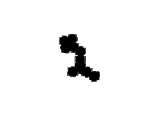 c1ccc(-c2nc(-c3ccc(-c4cccnc4)cc3)nc(-c3ccc(-c4cccc(-c5ccc6c(c5)-c5ccccc5C6(c5ccccc5)c5ccccc5)c4)cc3)n2)cc1